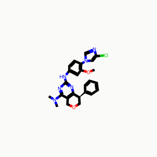 COc1cc(Nc2nc3c(c(N(C)C)n2)COC[C@@H]3c2ccccc2)ccc1-n1cnc(Cl)c1